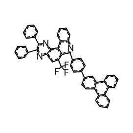 FC(F)(F)c1cc2nc(-c3ccccc3)c(-c3ccccc3)nc2c2c1c(-c1ccc(-c3ccc4c5ccccc5c5ccccc5c4c3)cc1)nc1ccccc12